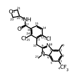 Cc1cc(C(F)(F)F)cc2c1nc(Cc1c(Cl)ccc(C(=O)NC3COC3)c1Cl)n2C